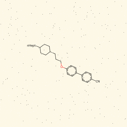 CCCCCCCC1CCC(CCCOc2ccc(-c3ccc(C#N)cc3)cc2)CC1